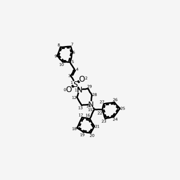 O=S(=O)(C=Cc1ccccc1)N1CCN(C(c2ccccc2)c2ccccc2)CC1